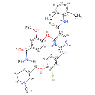 CCOc1cc(C(=O)N(CC)CC)ccc1Oc1nc(Nc2ccc(OCC3CCCN(C)C3)c(F)c2)ncc1C(=O)Nc1c(C)cccc1C